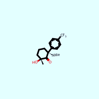 CN[C@@]1(c2ccc(C(F)(F)F)cc2)CCC[C@@](C)(O)C1=O